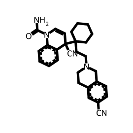 N#Cc1ccc2c(c1)CCN(CCC1(C3(C#N)C=CN(C(N)=O)c4ccccc43)CCCCC1)C2